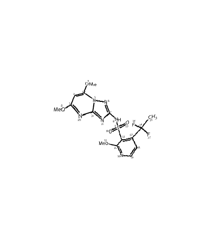 COc1cc(OC)n2nc(NS(=O)(=O)c3c(C(C)(F)F)ccnc3OC)nc2n1